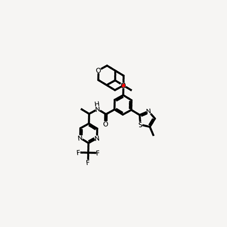 Cc1cnc(-c2cc(OC3C4COCC3CN(C)C4)cc(C(=O)NC(C)c3cnc(C(F)(F)F)nc3)c2)s1